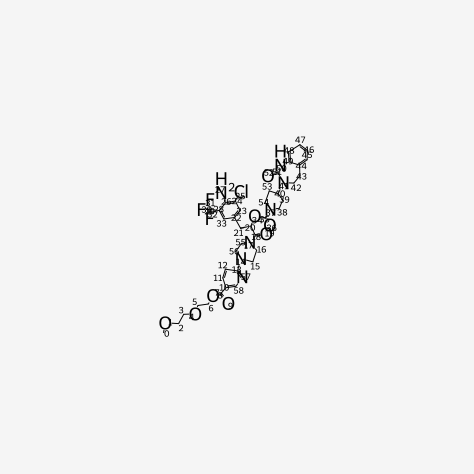 COCCOCCOC(=O)c1ccc(N2CCN(C(=O)[C@@H](Cc3cc(Cl)c(N)c(C(F)(F)F)c3)OC(=O)N3CCC(N4CCc5ccccc5NC4=O)CC3)CC2)nc1